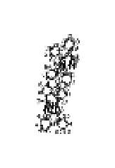 CC(C)(C)c1ccc2c(c1)C1(c3cc(-c4nnc(-c5ccccc5)c(-c5ccccc5)n4)ccc3-c3ccc(-c4nnc(-c5ccccc5)c(-c5ccccc5)n4)cc31)c1cc(C(C)(C)C)ccc1-2